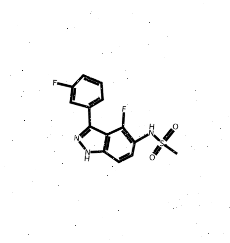 CS(=O)(=O)Nc1ccc2[nH]nc(-c3cccc(F)c3)c2c1F